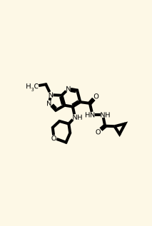 CCn1ncc2c(NC3CCOCC3)c(C(=O)NNC(=O)C3CC3)cnc21